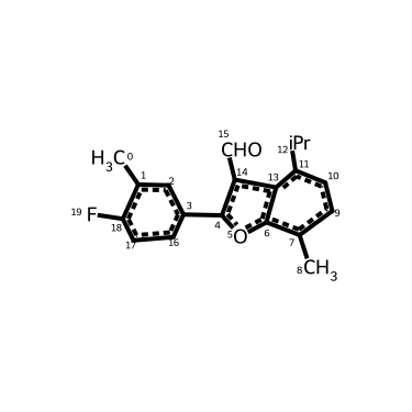 Cc1cc(-c2oc3c(C)ccc(C(C)C)c3c2C=O)ccc1F